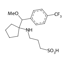 COC(c1ccc(C(F)(F)F)cc1)C1(NCCCS(=O)(=O)O)CCCC1